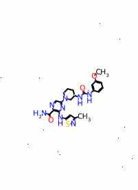 COc1cccc(NC(=O)NC2CCCN(c3cnc(C(N)=O)c(Nc4cc(C)ns4)n3)C2)c1